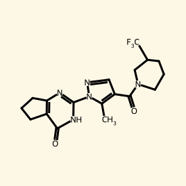 Cc1c(C(=O)N2CCCC(C(F)(F)F)C2)cnn1-c1nc2c(c(=O)[nH]1)CCC2